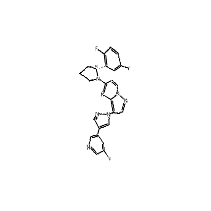 Fc1cncc(-c2cnn(-c3cnn4ccc(N5CCC[C@@H]5c5cc(F)ccc5F)nc34)c2)c1